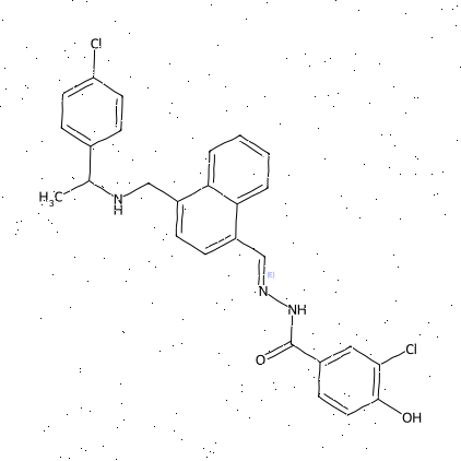 CC(NCc1ccc(/C=N/NC(=O)c2ccc(O)c(Cl)c2)c2ccccc12)c1ccc(Cl)cc1